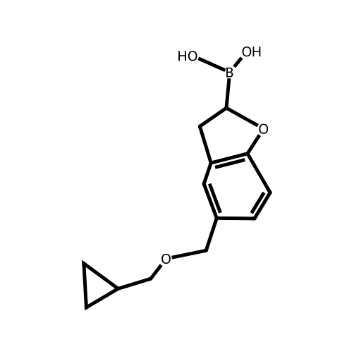 OB(O)C1Cc2cc(COCC3CC3)ccc2O1